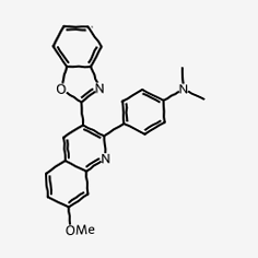 COc1ccc2cc(-c3nc4c[c]ccc4o3)c(-c3ccc(N(C)C)cc3)nc2c1